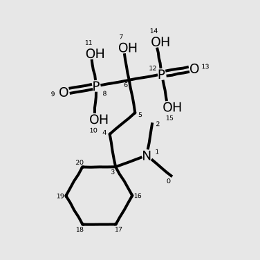 CN(C)C1(CCC(O)(P(=O)(O)O)P(=O)(O)O)CCCCC1